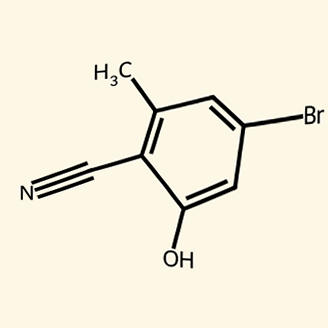 Cc1cc(Br)cc(O)c1C#N